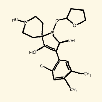 Cc1cc(Cl)c(C2=C(O)C3(CCN(O)CC3)N(OC3CCCO3)C2O)cc1C